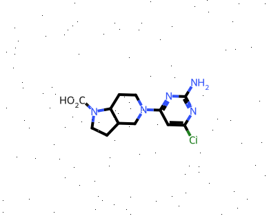 Nc1nc(Cl)cc(N2CCC3C(CCN3C(=O)O)C2)n1